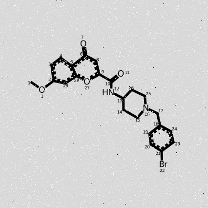 COc1ccc2c(=O)cc(C(=O)NC3CCN(Cc4ccc(Br)cc4)CC3)oc2c1